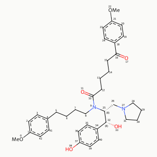 COc1ccc(CCCCN(C(=O)CCCCC(=O)c2ccc(OC)cc2)[C@H](CN2CCCC2)[C@H](O)c2ccc(O)cc2)cc1